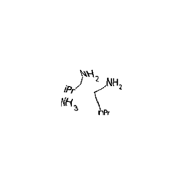 CC(C)N.CCCCN.N